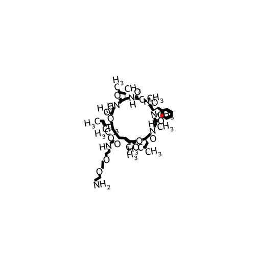 C/C=C(\C)[C@H]1OC(=O)[C@@H](C)NC(=O)[C@H](C(C)CC)NC(=O)CN(C)C(=O)[C@@H](Cc2ccccc2)N(C)C(=O)[C@H](C)NC(=O)[C@@H](CC(C)C)OC(=O)/C(C)=C/C[C@H](OC(=O)NCCOCCOCCN)[C@@H]1C